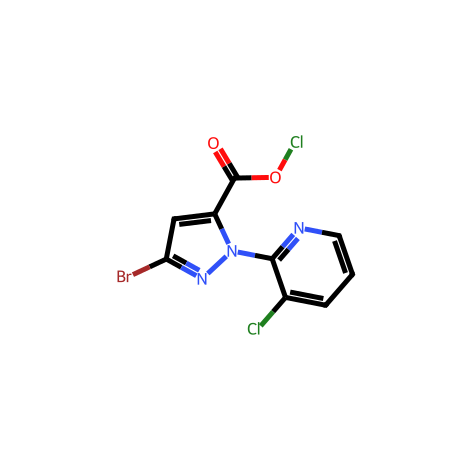 O=C(OCl)c1cc(Br)nn1-c1ncccc1Cl